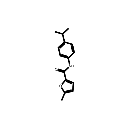 Cc1ccc(C(=O)Nc2ccc(C(C)C)cc2)o1